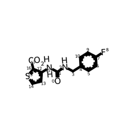 O=C(NCc1ccc(F)cc1)Nc1ccsc1C(=O)O